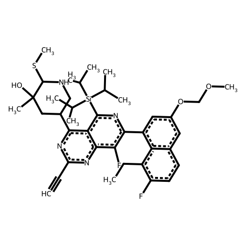 C#Cc1nc(C2CNC(SC)C(C)(O)C2)c2c([Si](C(C)C)(C(C)C)C(C)C)nc(-c3cc(OCOC)cc4ccc(F)c(CC)c34)c(F)c2n1